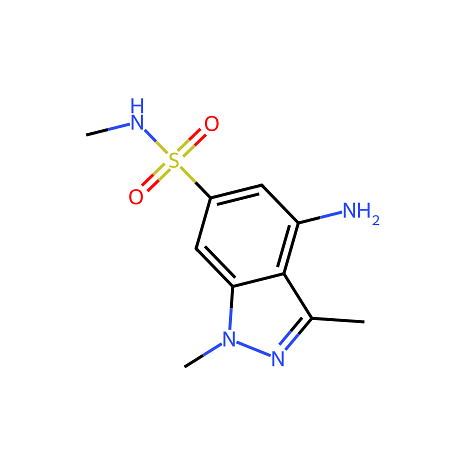 CNS(=O)(=O)c1cc(N)c2c(C)nn(C)c2c1